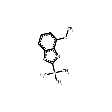 C[Si](C)(C)c1nc2c(OC(F)(F)F)cccc2s1